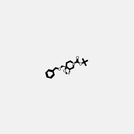 CO[C@]1(COCc2ccccc2)CCN(C(=O)OC(C)(C)C)C[C@H]1F